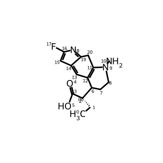 CC[C@H](C(=O)O)C1CCN(N)C2=C1C=C1C=C(F)N=C1C2